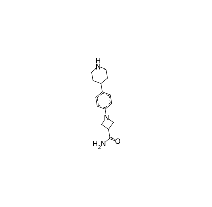 NC(=O)C1CN(c2ccc(C3CCNCC3)cc2)C1